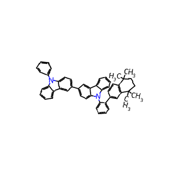 CC1(C)CCC(C)(C)c2cc(-c3ccccc3-n3c4ccccc4c4cc(-c5ccc6c(c5)c5ccccc5n6-c5ccccc5)ccc43)ccc21